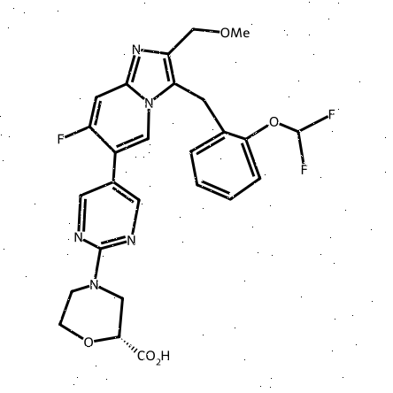 COCc1nc2cc(F)c(-c3cnc(N4CCO[C@@H](C(=O)O)C4)nc3)cn2c1Cc1ccccc1OC(F)F